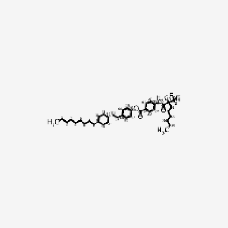 CCCCCCCCC[C@H]1CC[C@H](CCc2ccc(OC(=O)c3ccc(OC(=O)C(C)(CCCCCC)C(F)(F)F)cc3)cc2)CC1